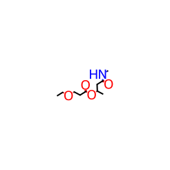 CCOCCC(=O)OC(C)CC(=O)NC